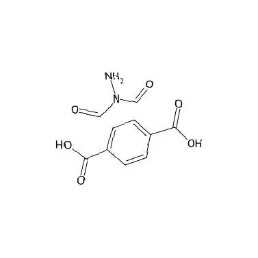 NN(C=O)C=O.O=C(O)c1ccc(C(=O)O)cc1